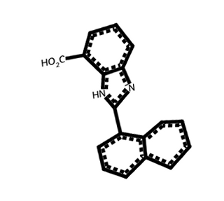 O=C(O)c1cccc2nc(-c3cccc4ccccc34)[nH]c12